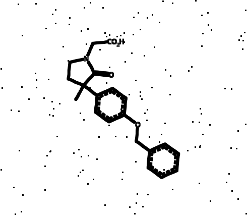 CC1(c2ccc(OCc3ccccc3)cc2)CCN(CC(=O)O)C1=O